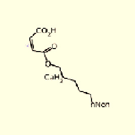 CCCCCCCCCCCCCCOC(=O)/C=C\C(=O)O.[CaH2]